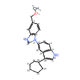 COCc1ccc2c(c1)ncn2-c1ccc2[nH]cc(C3CCCCC3)c2c1